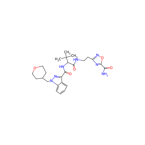 CC(C)(C)C(NC(=O)c1nn(CC2CCOCC2)c2ccccc12)C(=O)NCCc1noc(C(N)=O)n1